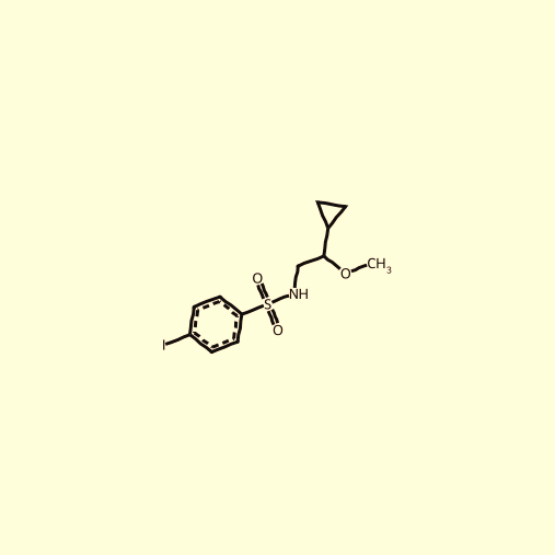 COC(CNS(=O)(=O)c1ccc(I)cc1)C1CC1